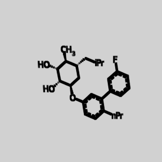 CCCc1ccc(O[C@@H]2C[C@@H](CC(C)C)[C@H](C)[C@@H](O)[C@H]2O)cc1-c1cccc(F)c1